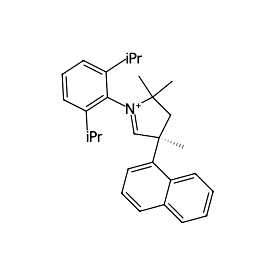 CC(C)c1cccc(C(C)C)c1[N+]1=C[C@](C)(c2cccc3ccccc23)CC1(C)C